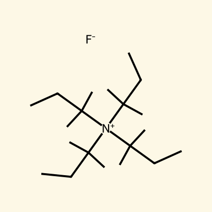 CCC(C)(C)[N+](C(C)(C)CC)(C(C)(C)CC)C(C)(C)CC.[F-]